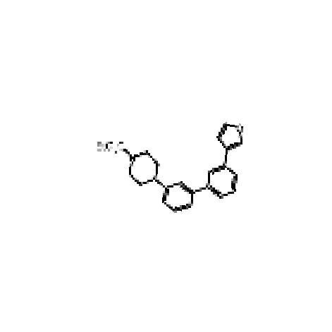 CCOC(=O)N1CCC(c2cccc(-c3cccc(-c4ccoc4)c3)c2)CC1